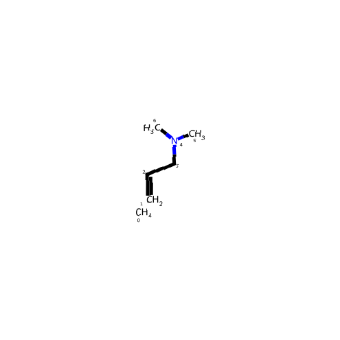 C.C=CCN(C)C